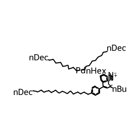 CCCCCCCCCCCCCCCCCCCCCCCCCCc1ccc(C(=CC(=C=[N+]=[N-])CCCC)c2ccc(CCCCCC)cc2)cc1.CCCCCCCCCCCCCCCCCC[CH2][Pd][CH2]CCCCCCCCCCCCCCCCCC